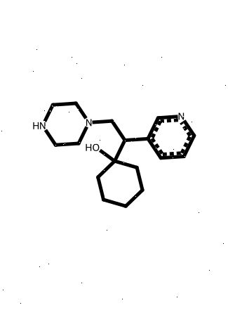 OC1(C(CN2CCNCC2)c2cccnc2)CCCCC1